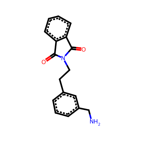 NCc1cccc(CCN2C(=O)c3ccccc3C2=O)c1